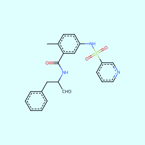 Cc1ccc(NS(=O)(=O)c2cccnc2)cc1C(=O)NC(C=O)Cc1ccccc1